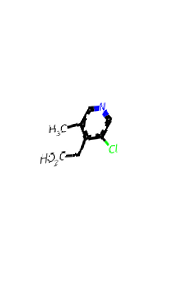 Cc1cncc(Cl)c1CC(=O)O